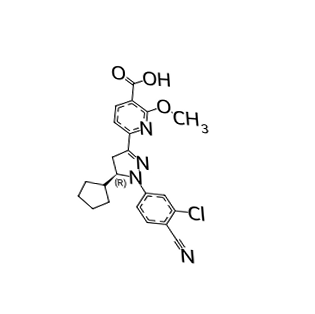 COc1nc(C2=NN(c3ccc(C#N)c(Cl)c3)[C@@H](C3CCCC3)C2)ccc1C(=O)O